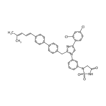 CC(C)=C/C=C/c1ccc(-c2ccc(Cc3nc(-c4ccc(Cl)cc4Cl)cn3-c3cccc(N4CC(=O)NS4(=O)=O)c3)cc2)cc1